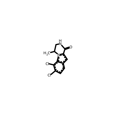 CC1CNC(=O)c2cc3ccc(Cl)c(Cl)c3n21